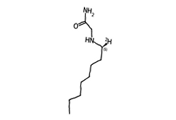 [2H][C@@H](CCCCCCC)NCC(N)=O